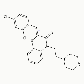 O=C1/C(=C/c2ccc(Cl)cc2Cl)Sc2ccccc2N1CCN1CCOCC1